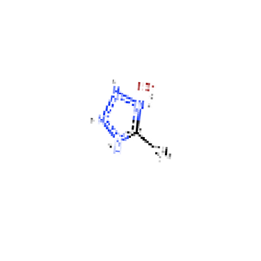 Br.Cc1nnn[nH]1